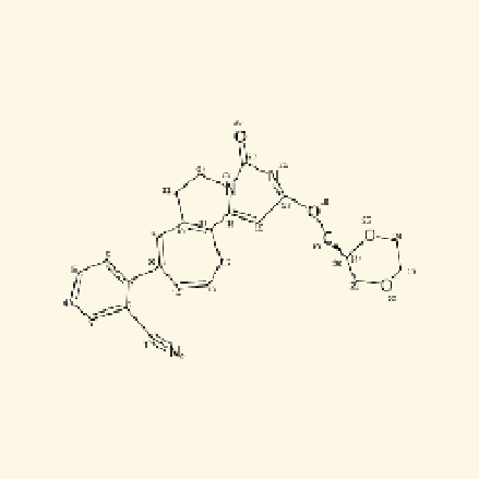 N#Cc1ccccc1C1=CC2=C(CC=C1)c1cc(OC[C@@H]3COCCO3)nc(=O)n1CC2